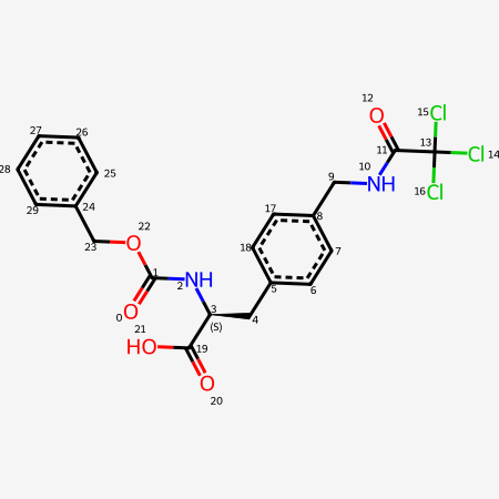 O=C(N[C@@H](Cc1ccc(CNC(=O)C(Cl)(Cl)Cl)cc1)C(=O)O)OCc1ccccc1